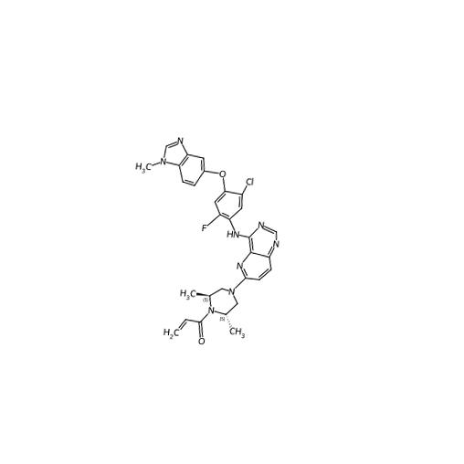 C=CC(=O)N1[C@@H](C)CN(c2ccc3ncnc(Nc4cc(Cl)c(Oc5ccc6c(c5)ncn6C)cc4F)c3n2)C[C@@H]1C